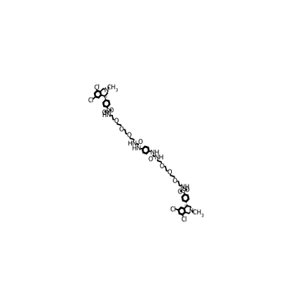 CN1Cc2c(Cl)cc(Cl)cc2[C@H](c2ccc(S(=O)(=O)NCCOCCOCCOCCNC(=O)Nc3ccc(NC(=O)NCCOCCOCCOCCNS(=O)(=O)c4ccc([C@@H]5CN(C)Cc6c(Cl)cc(Cl)cc65)cc4)cc3)cc2)C1